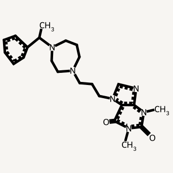 CC(c1ccccc1)N1CCCN(CCCn2cnc3c2c(=O)n(C)c(=O)n3C)CC1